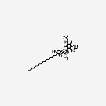 CCCCCCCCCCCCCCCCCC(=O)C(O)(CO)C(O)(OC(=O)c1c(I)c(NCC(C)=O)c(I)c(NC(C)=O)c1I)C(=O)OCC